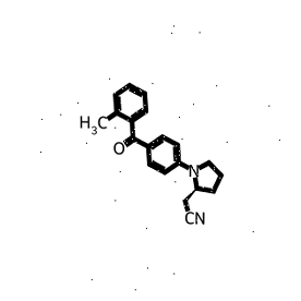 Cc1ccccc1C(=O)c1ccc(N2CCC[C@H]2CC#N)cc1